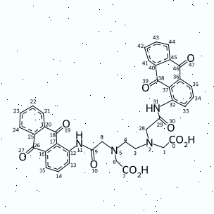 O=C(O)CN(CCN(CC(=O)O)CC(=O)Nc1cccc2c1C(=O)c1ccccc1C2=O)CC(=O)Nc1cccc2c1C(=O)c1ccccc1C2=O